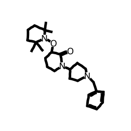 CC1(C)CCCC(C)(C)N1OC1CCCN(C2CCN(Cc3ccccc3)CC2)C1=O